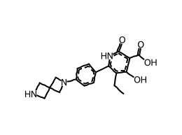 CCc1c(-c2ccc(N3CC4(CNC4)C3)cc2)[nH]c(=O)c(C(=O)O)c1O